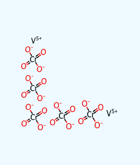 [O]=[Cr](=[O])([O-])[O-].[O]=[Cr](=[O])([O-])[O-].[O]=[Cr](=[O])([O-])[O-].[O]=[Cr](=[O])([O-])[O-].[O]=[Cr](=[O])([O-])[O-].[V+5].[V+5]